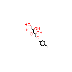 CC=C1C=CC(COCC(O)C(O)C(O)C(O)CO)=CC1